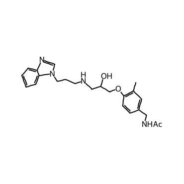 CC(=O)NCc1ccc(OCC(O)CNCCCn2cnc3ccccc32)c(C)c1